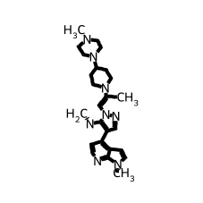 C=Nc1c(-c2ccnc3c2ccn3C)cnn1/C=C(\C)N1CCC(N2CCN(C)CC2)CC1